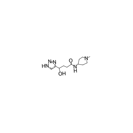 CN1CCC(NC(=O)CCC(O)c2c[nH]nn2)CC1